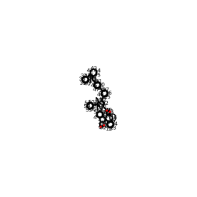 C1=CC2c3ccccc3C3(c4ccccc4Oc4ccc(-c5cc(-c6cccc(-c7ccc(-n8c9c(c%10ccccc%108)CCC=C9)cc7)c6)nc(-c6ccccc6)n5)cc43)C2C=C1